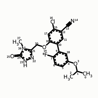 CC(C)Oc1ccc(F)c(-c2cc(C#N)c(Cl)cc2OCc2n[nH]c(=O)n2C)c1